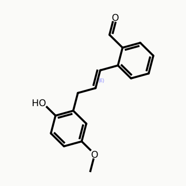 COc1ccc(O)c(C/C=C/c2ccccc2C=O)c1